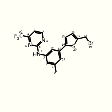 Cc1cc(Nc2nccc(C(F)(F)F)n2)cc(-c2ccc(CBr)s2)c1